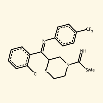 CSC(=N)N1CCSC(/C(=N\c2ccc(C(F)(F)F)cc2)c2ccccc2Cl)C1